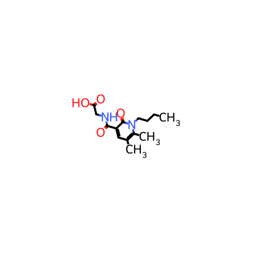 CCCCn1c(C)c(C)cc(C(=O)NCC(=O)O)c1=O